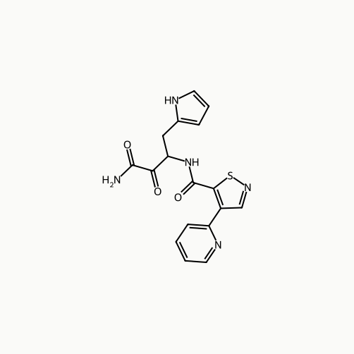 NC(=O)C(=O)C(Cc1ccc[nH]1)NC(=O)c1sncc1-c1ccccn1